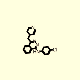 ClC1=CC=C(Nc2nnc(CC3C=CN=CC3)c3ccccc23)CC1